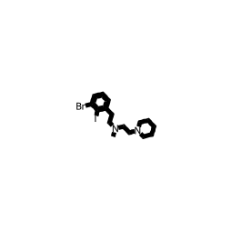 CN(CCc1cccc(Br)c1I)CCN1CCCCC1